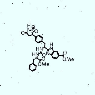 COC(=O)c1ccc2nc(C(Cc3ccc(C4CC(=O)NS4(=O)=O)cc3)NC(=O)N[C@H](Cc3ccccc3)C(=O)OC)[nH]c2c1